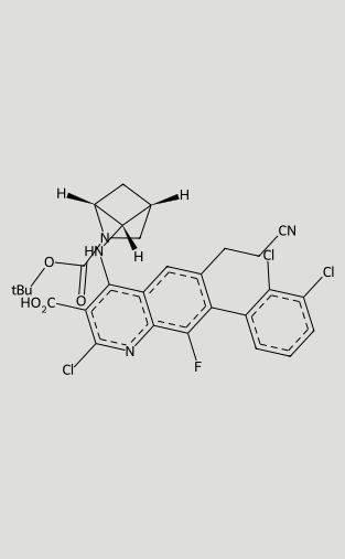 CC(C)(C)OC(=O)N1C[C@H]2C[C@@H]1[C@H]2Nc1c(C(=O)O)c(Cl)nc2c(F)c(-c3cccc(Cl)c3Cl)c(CCC#N)cc12